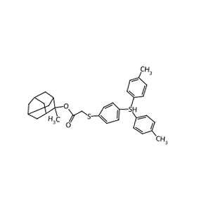 Cc1ccc([SH](c2ccc(C)cc2)c2ccc(SCC(=O)OC3(C)C4CC5CC(C4)CC3C5)cc2)cc1